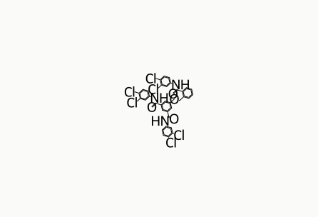 O=C(Nc1ccc(Cl)c(Cl)c1)c1cc(OCc2ccccc2C(=O)Nc2ccc(Cl)c(Cl)c2)cc(C(=O)Nc2ccc(Cl)c(Cl)c2)c1